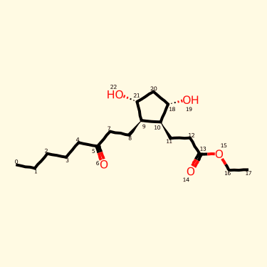 CCCCCC(=O)CC[C@@H]1[C@H](CCC(=O)OCC)[C@@H](O)C[C@H]1O